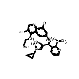 CN(C)c1ncccc1C(Nc1cc(Cl)c2ncc(C#N)c(NCC(C)(C)C)c2c1)C1=CN(C2CC2)NN1